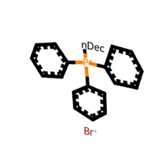 CCCCCCCCCC[P+](c1ccccc1)(c1ccccc1)c1ccccc1.[Br-]